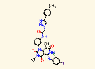 Cc1ccc(-c2cn(CC(=O)Nc3cccc(-n4c(=O)n(C5CC5)c(=O)c5c(Nc6ccc(I)cc6F)[nH]c(=O)c(C)c54)c3)nn2)cc1